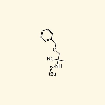 CC(C#N)(COCc1ccccc1)NSC(C)(C)C